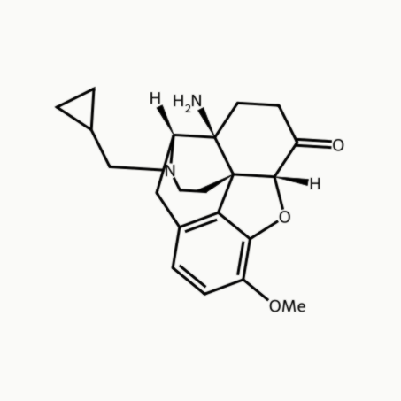 COc1ccc2c3c1O[C@H]1C(=O)CC[C@@]4(N)[C@@H](C2)N(CC2CC2)CC[C@]314